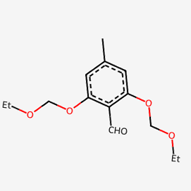 CCOCOc1cc(C)cc(OCOCC)c1C=O